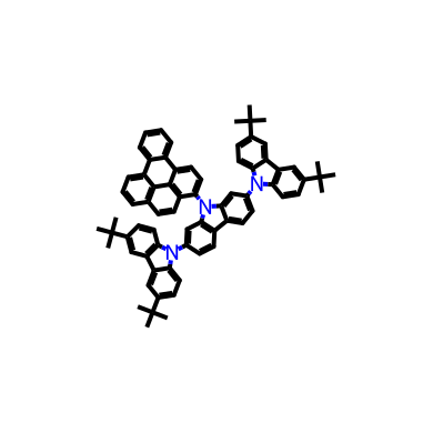 CC(C)(C)c1ccc2c(c1)c1cc(C(C)(C)C)ccc1n2-c1ccc2c3ccc(-n4c5ccc(C(C)(C)C)cc5c5cc(C(C)(C)C)ccc54)cc3n(-c3ccc4c5ccccc5c5cccc6ccc3c4c65)c2c1